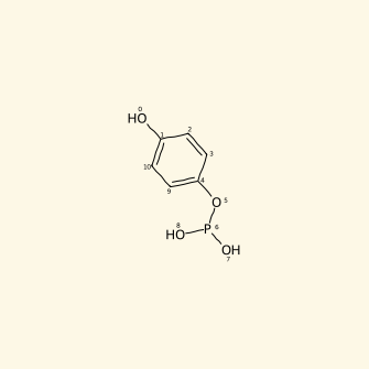 Oc1ccc(OP(O)O)cc1